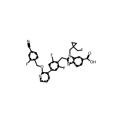 N#Cc1ccc(COc2ncccc2-c2cc(F)c(Cc3nc4ccc(C(=O)O)cc4n3CC3(CF)CC3)c(F)c2)c(F)c1